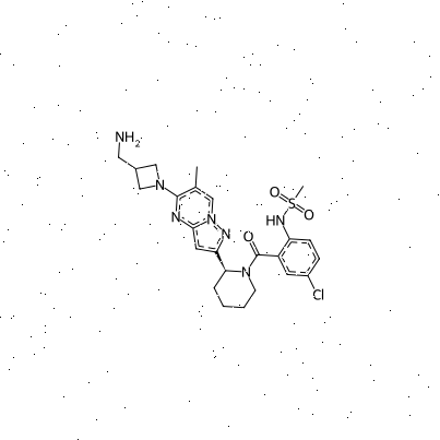 Cc1cn2nc([C@@H]3CCCCN3C(=O)c3cc(Cl)ccc3NS(C)(=O)=O)cc2nc1N1CC(CN)C1